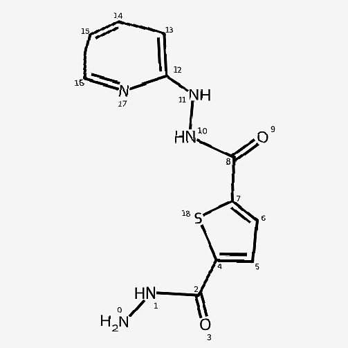 NNC(=O)c1ccc(C(=O)NNc2ccccn2)s1